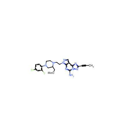 CC#Cc1nc2c3cnn(CCN4CCN(c5ccc(F)cc5F)CC4COC)c3nc(N)n2n1